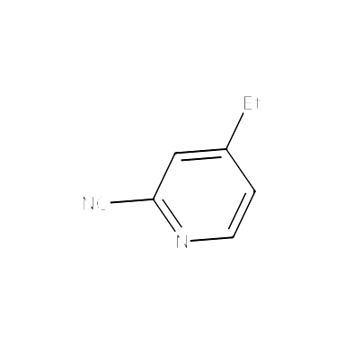 [CH2]Cc1ccnc(C#N)c1